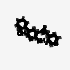 Nc1nnc(-c2ccccc2O)cc1C1CC1c1ccncc1